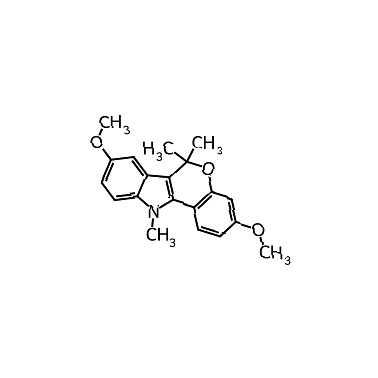 COc1ccc2c(c1)OC(C)(C)c1c-2n(C)c2ccc(OC)cc12